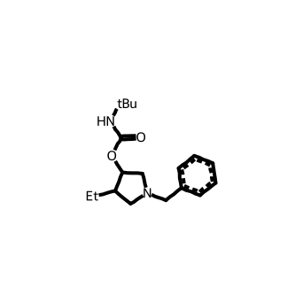 CCC1CN(Cc2ccccc2)CC1OC(=O)NC(C)(C)C